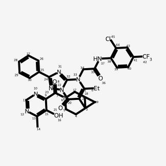 CCc1c(C23CCN(C(=O)c4ncnc(C)c4O)CC2C3)c(=O)n2nc(-c3ccccc3)nc2n1CC(=O)Nc1ccc(C(F)(F)F)cc1Cl